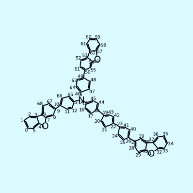 c1ccc2c(c1)oc1cc(-c3ccc(N(c4ccc(-c5ccc(-c6ccc(-c7ccc8oc9ccccc9c8c7)cc6)cc5)cc4)c4ccc(-c5ccc6c(c5)oc5ccccc56)cc4)cc3)ccc12